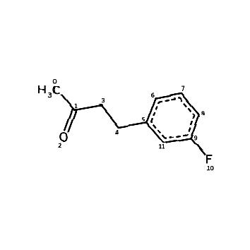 CC(=O)CCc1cc[c]c(F)c1